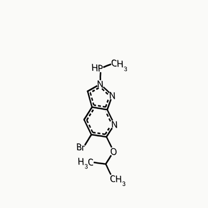 CPn1cc2cc(Br)c(OC(C)C)nc2n1